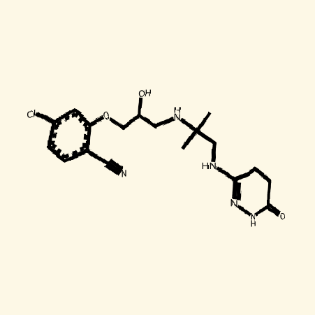 CC(C)(CNC1=NNC(=O)CC1)NCC(O)COc1cc(Cl)ccc1C#N